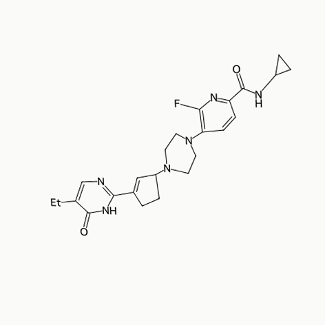 CCc1cnc(C2=CC(N3CCN(c4ccc(C(=O)NC5CC5)nc4F)CC3)CC2)[nH]c1=O